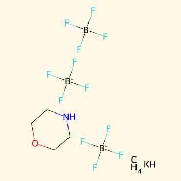 C.C1COCCN1.F[B-](F)(F)F.F[B-](F)(F)F.F[B-](F)(F)F.[KH]